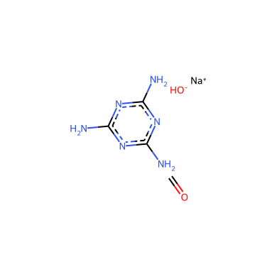 C=O.Nc1nc(N)nc(N)n1.[Na+].[OH-]